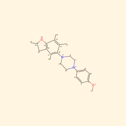 COc1ccc(N2CCN(c3c(C)c(C)c4c(c3C)C[C](C)O4)CC2)cc1